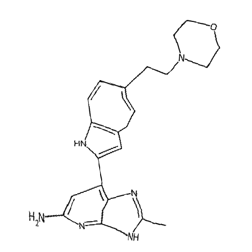 Cc1nc2c(-c3cc4cc(CCN5CCOCC5)ccc4[nH]3)cc(N)nc2[nH]1